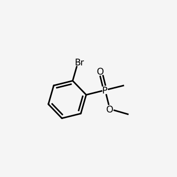 COP(C)(=O)c1ccccc1Br